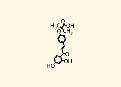 CC(C)(Oc1ccc(/C=C/C(=O)c2ccc(O)cc2O)cc1)C(=O)O